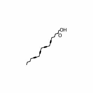 CCCCC#CCC#CCC#CCC#CCCCC(=O)CO